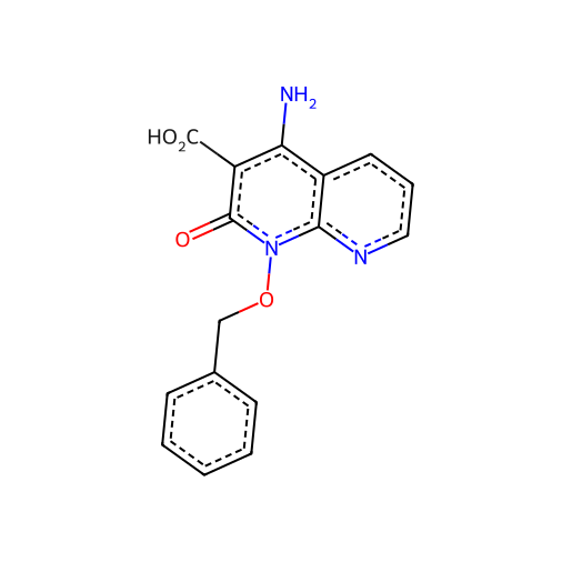 Nc1c(C(=O)O)c(=O)n(OCc2ccccc2)c2ncccc12